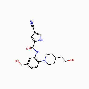 N#Cc1c[nH]c(C(=O)Nc2cc(CO)ccc2N2CCC(CCO)CC2)c1